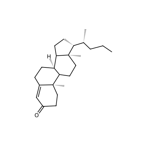 CCC[C@@H](C)[C@H]1CCC2[C@@H]3CCC4=CC(=O)CC[C@]4(C)C3CC[C@@]21C